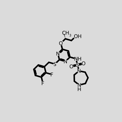 C[C@H](CO)Oc1cc(NS(=O)(=O)N2CCCNCC2)nc(SCc2cccc(F)c2F)n1